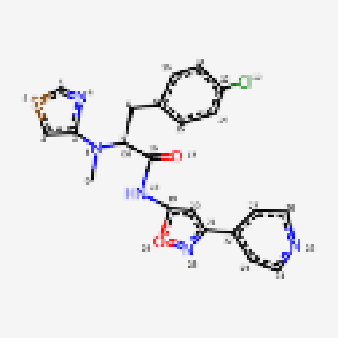 CN(c1cscn1)[C@@H](Cc1ccc(Cl)cc1)C(=O)Nc1cc(-c2ccncc2)no1